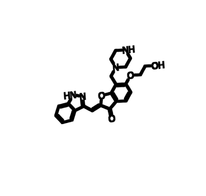 O=C1C(=Cc2n[nH]c3ccccc23)Oc2c1ccc(OCCO)c2CN1CCNCC1